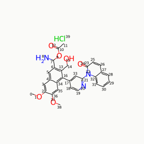 COc1cc2cc(C(N)OC(C)=O)c(CO)c(-c3ccnc(-n4c(=O)ccc5ccccc54)c3)c2cc1OC.Cl